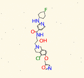 O=C(NC[C@H](O)CN1CCc2c(ccc(OCc3cnco3)c2Cl)C1)c1ccnc(NC2CCC(F)CC2)c1